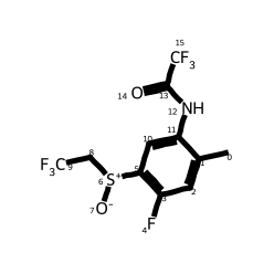 Cc1cc(F)c([S+]([O-])CC(F)(F)F)cc1NC(=O)C(F)(F)F